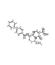 CC1CCC(=NNc2ccc(-c3ccccc3)cc2)c2ncc(C(=O)O)c(=O)n21